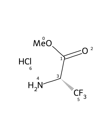 COC(=O)[C@@H](N)C(F)(F)F.Cl